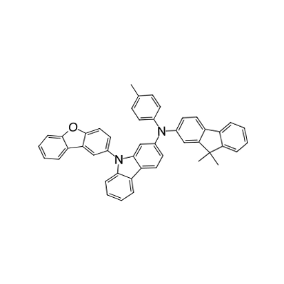 Cc1ccc(N(c2ccc3c(c2)C(C)(C)c2ccccc2-3)c2ccc3c4ccccc4n(-c4ccc5oc6ccccc6c5c4)c3c2)cc1